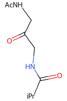 CC(=O)NCC(=O)CNC(=O)C(C)C